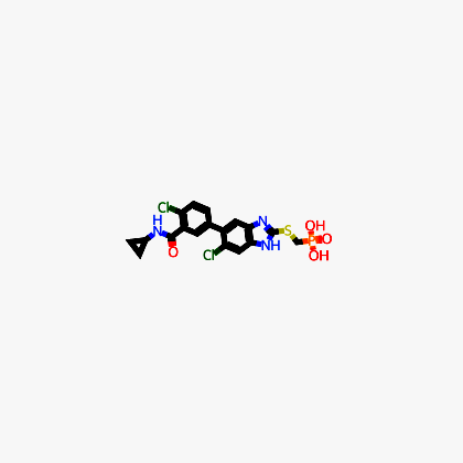 O=C(NC1CC1)c1cc(-c2cc3nc(SCP(=O)(O)O)[nH]c3cc2Cl)ccc1Cl